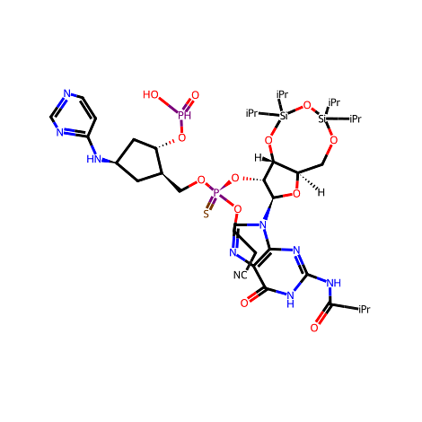 CC(C)C(=O)Nc1nc2c(ncn2[C@@H]2O[C@@H]3CO[Si](C(C)C)(C(C)C)O[Si](C(C)C)(C(C)C)O[C@H]3[C@H]2O[P@](=S)(OCCC#N)OC[C@H]2C[C@@H](Nc3ccncn3)C[C@@H]2O[PH](=O)O)c(=O)[nH]1